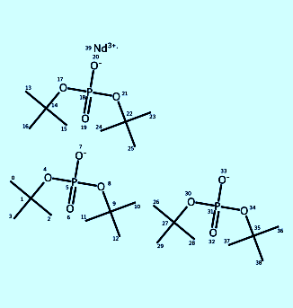 CC(C)(C)OP(=O)([O-])OC(C)(C)C.CC(C)(C)OP(=O)([O-])OC(C)(C)C.CC(C)(C)OP(=O)([O-])OC(C)(C)C.[Nd+3]